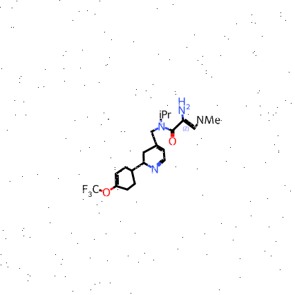 CN/C=C(\N)C(=O)N(CC1=CC=NC(C2CC=C(OC(F)(F)F)CC2)C1)C(C)C